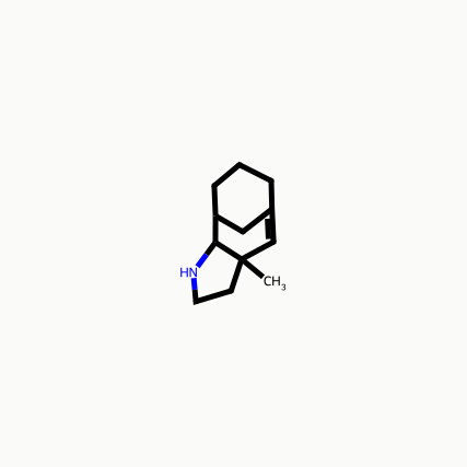 CC12C=C3CCCC(C3)C1NCC2